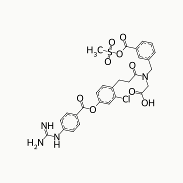 CS(=O)(=O)OC(=O)c1cccc(CN(CC(=O)O)C(=O)CCc2ccc(OC(=O)c3ccc(NC(=N)N)cc3)cc2Cl)c1